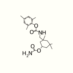 Cc1cc(C)c(OC(=O)NCC2(C)CC(OC(N)=O)CC(C)(C)C2)c(C)c1